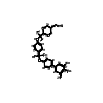 CCCCCC1COC(C(F)(F)Oc2ccc(C(F)(F)Oc3ccc(-c4cc(F)c(F)c(F)c4)cc3)cc2)OC1